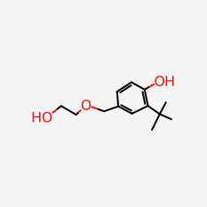 CC(C)(C)c1cc(COCCO)ccc1O